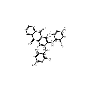 O=C1c2ccccc2C(=O)c2c(F)c(Nc3c(Cl)cc(Cl)cc3Cl)c(Nc3c(Cl)cc(Cl)cc3Cl)c(F)c21